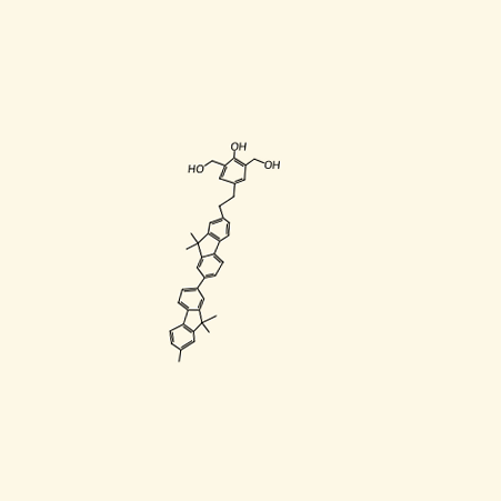 Cc1ccc2c(c1)C(C)(C)c1cc(-c3ccc4c(c3)C(C)(C)c3cc(CCc5cc(CO)c(O)c(CO)c5)ccc3-4)ccc1-2